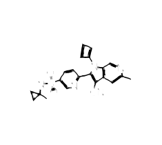 Cc1cc2c(C#N)c(-c3ccc(S(=O)(=O)NC4(C)CC4)cn3)n(C3=CC=C3)c2cn1